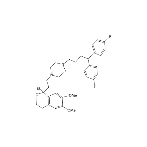 CCC1(CCN2CCN(CCCC(c3ccc(F)cc3)c3ccc(F)cc3)CC2)OCCc2cc(OC)c(OC)cc21